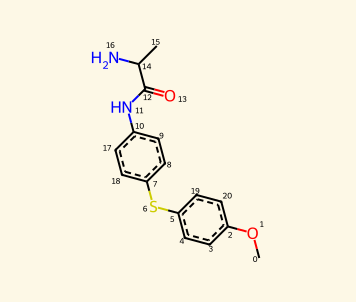 COc1ccc(Sc2ccc(NC(=O)C(C)N)cc2)cc1